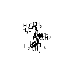 CCC(C)C(C)CCCN1CCN(CCCC(C)(C)CC(C)(C)C)C1=NC(C)(C)C